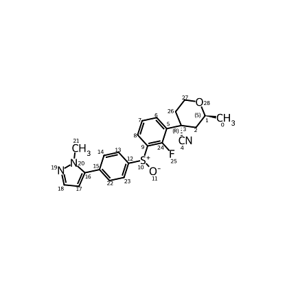 C[C@H]1C[C@@](C#N)(c2cccc([S+]([O-])c3ccc(-c4ccnn4C)cc3)c2F)CCO1